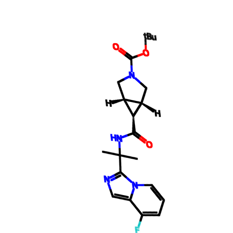 CC(C)(C)OC(=O)N1C[C@@H]2[C@H](C1)[C@H]2C(=O)NC(C)(C)c1ncc2c(F)cccn12